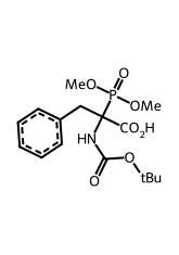 COP(=O)(OC)C(Cc1ccccc1)(NC(=O)OC(C)(C)C)C(=O)O